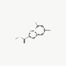 COC(=O)c1cc2cc(C)cc(Br)n2n1